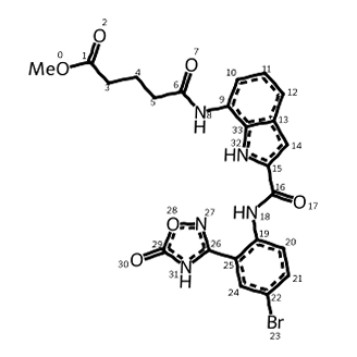 COC(=O)CCCC(=O)Nc1cccc2cc(C(=O)Nc3ccc(Br)cc3-c3noc(=O)[nH]3)[nH]c12